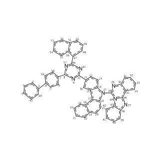 c1ccc(-c2ccc(-c3nc(-c4ccc5c(c4)c4c6ccccc6ccc4n5-c4nc5ccccc5c5nc6ccccc6n45)nc(-c4cccc5ccccc45)n3)cc2)cc1